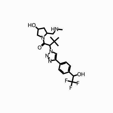 CNCC1CC(O)CN1C(=O)C(n1cc(-c2ccc(C(O)C(F)(F)F)cc2)nn1)C(C)(C)C